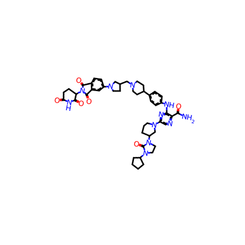 NC(=O)c1ncc(N2CCCC(N3CCN(C4CCCC4)C3=O)C2)nc1Nc1ccc(C2CCN(CC3CCN(c4ccc5c(c4)C(=O)N(C4CCC(=O)NC4=O)C5=O)C3)CC2)cc1